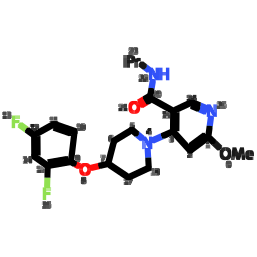 COc1cc(N2CCC(Oc3ccc(F)cc3F)CC2)c(C(=O)NC(C)C)cn1